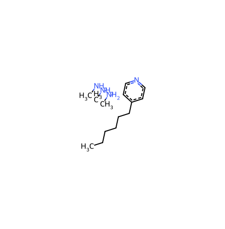 CCCCCCc1ccncc1.CN.CN.CN